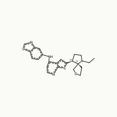 CCN1CC[C@H](c2cc3c(Nc4ccc5scnc5c4)ccnc3s2)[C@]12CCOC2